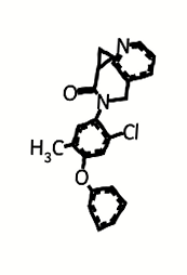 Cc1cc(N(Cc2cccnc2)C(=O)C2CC2)c(Cl)cc1Oc1ccccc1